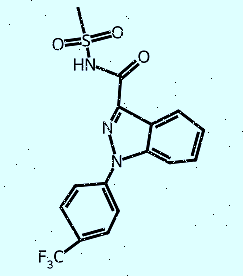 CS(=O)(=O)NC(=O)c1nn(-c2ccc(C(F)(F)F)cc2)c2ccccc12